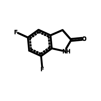 O=C1Cc2cc(F)cc(F)c2N1